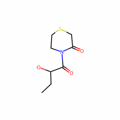 CCC([O])C(=O)N1CCSCC1=O